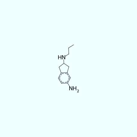 CCCNC1Cc2ccc(N)cc2C1